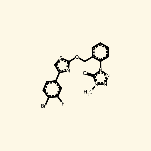 Cn1nnn(-c2ccccc2COc2nc(-c3ccc(Br)c(F)c3)cs2)c1=O